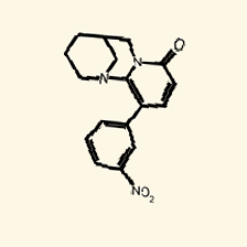 O=c1ccc(-c2cccc([N+](=O)[O-])c2)c2n1CC1CCCN2C1